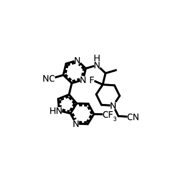 CC(Nc1ncc(C#N)c(-c2c[nH]c3ncc(C(F)(F)F)cc23)n1)C1(F)CCN(CC#N)CC1